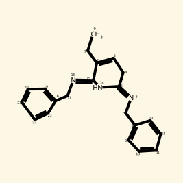 CCC1=CCC(=NCc2ccccc2)NC1=NCc1ccccc1